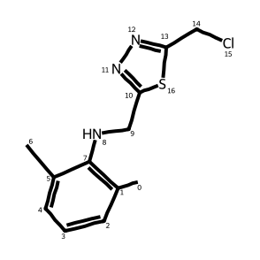 Cc1cccc(C)c1NCc1nnc(CCl)s1